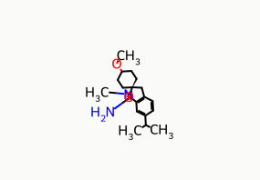 CO[C@H]1CC[C@@]2(CC1)Cc1ccc(C(C)C)cc1C21N=C(N)N(C)O1